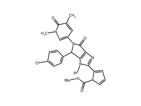 Cc1cc(N2C(=O)c3nc(-c4cccn4C(=O)OC(C)(C)C)n(C(C)C)c3C2c2ccc(Cl)cc2)cn(C)c1=O